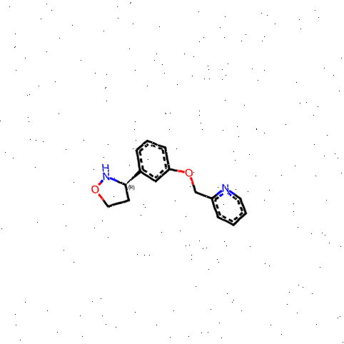 c1ccc(COc2cccc([C@H]3CCON3)c2)nc1